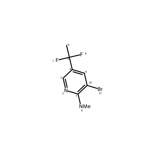 CNc1ncc(C(C)(F)F)cc1Br